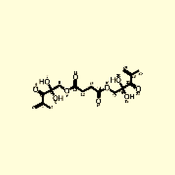 C=C(C)C(=O)C(O)(O)COC(=O)CCC(=O)OCC(O)(O)C(=O)C(=C)C